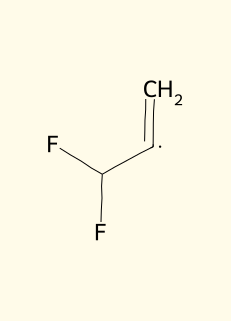 C=[C]C(F)F